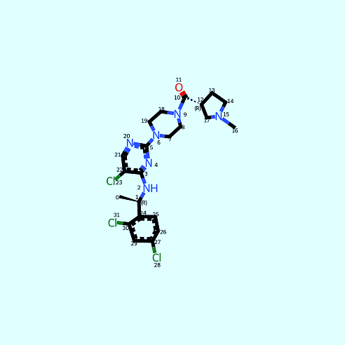 C[C@@H](Nc1nc(N2CCN(C(=O)[C@@H]3CCN(C)C3)CC2)ncc1Cl)c1ccc(Cl)cc1Cl